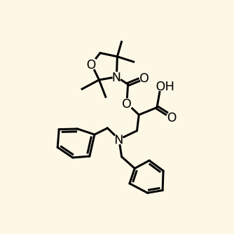 CC1(C)COC(C)(C)N1C(=O)OC(CN(Cc1ccccc1)Cc1ccccc1)C(=O)O